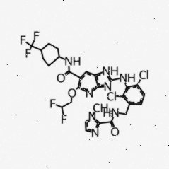 Cn1ccnc1C(=O)NCc1ccc(Cl)c(Nc2nc3nc(OCC(F)F)c(C(=O)NC4CCC(C(F)(F)F)CC4)cc3[nH]2)c1Cl